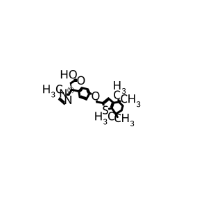 Cn1ccnc1[C@@H](CC(=O)O)c1ccc(OCc2cc3c(s2)C(C)(C)CCC3(C)C)cc1